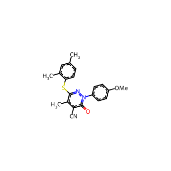 COc1ccc(-n2nc(Sc3ccc(C)cc3C)c(C)c(C#N)c2=O)cc1